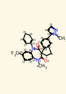 CN1C(=O)C2(CCc3cc(-c4ccnn4C)ccc32)C(=O)N(C2=CCCC=C2)c2cc(C(F)(F)F)ccc21